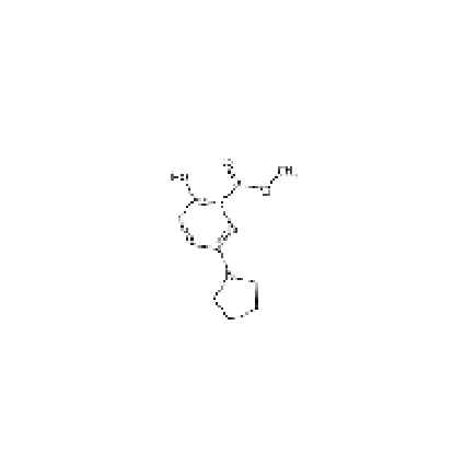 COC(=O)c1nc(N2CCCC2)ccc1O